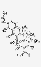 CC(=O)O[C@H]1[C@H]2C(=C(O)[C@]3(O)C(=O)C(C(N)=O)=C(O)[C@@H](N(C)C)[C@H]13)C(=O)c1c(ccc(N=C=N)c1O)[C@@H]2C